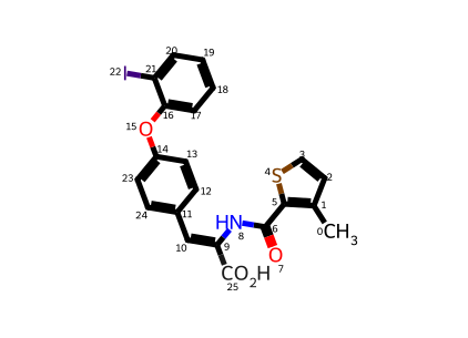 Cc1ccsc1C(=O)N/C(=C\c1ccc(Oc2ccccc2I)cc1)C(=O)O